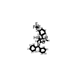 CS(=O)(=O)C(c1cccc(SC(F)(F)F)c1)C1(O)CN(C(c2ccccc2)c2ccccc2)C1